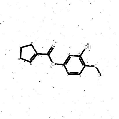 COc1ccc(OC(=O)C2=CCCC2)cc1O